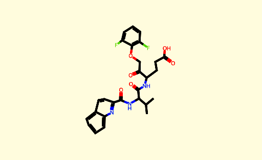 CC(C)C(NC(=O)c1ccc2ccccc2n1)C(=O)NC(CCC(=O)O)C(=O)COc1c(F)cccc1F